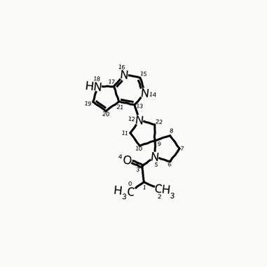 CC(C)C(=O)N1CCCC12CCN(c1ncnc3[nH]ccc13)C2